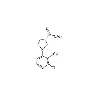 COC(=O)[C@H]1CCN(c2cccc(Cl)c2C#N)C1